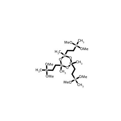 CO[Si](C)(CC[Si]1(C)O[Si](C)(CC[Si](C)(OC)OC)O[Si](C)(CC[Si](C)(OC)OC)O1)OC